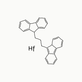 C1=CC2=c3ccccc3=C(CCCC3c4ccccc4-c4ccccc43)C2C=C1.[Hf]